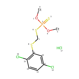 CCOP(=S)(OCC)SCSc1cc(Cl)ccc1Cl.Cl